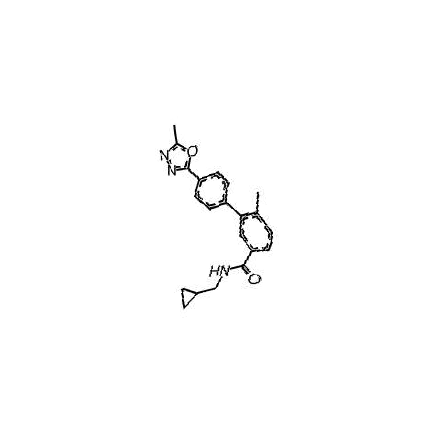 Cc1nnc(-c2ccc(-c3cc(C(=O)NCC4CC4)ccc3C)cc2)o1